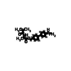 CC(C)C(=O)NC(C)C(=O)OCc1ccc(-c2ccc(PP)cc2)cc1